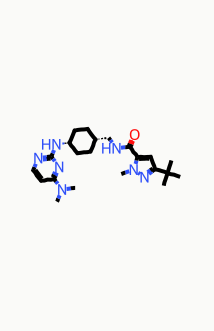 CN(C)c1ccnc(N[C@H]2CC[C@@H](CNC(=O)c3cc(C(C)(C)C)nn3C)CC2)n1